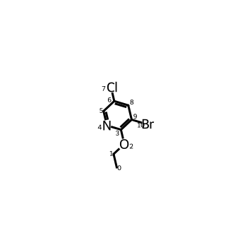 CCOc1ncc(Cl)cc1Br